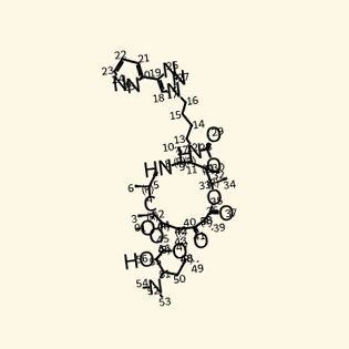 CO[C@]1(C)C[C@@H](C)CN[C@H](C)[C@H]2N(CCCCn3cc(-c4cccnn4)nn3)C(=O)O[C@]2(C)[C@@H](C)OC(=O)[C@H](C)C(=O)[C@H](C)[C@H]1O[C@@H]1O[C@H](C)CC(N(C)C)C1O